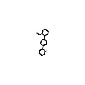 C=Cc1ccccc1-c1ccc(-c2ccccn2)cc1